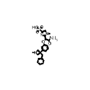 CN1CC(Cc2ccccc2)(c2cccc(OC(C(N)=O)c3nc(S(=O)(=O)O)cn3C)c2)C1